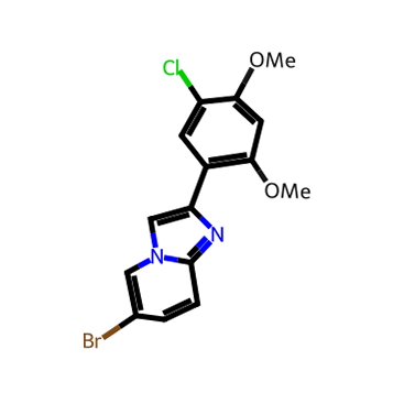 COc1cc(OC)c(-c2cn3cc(Br)ccc3n2)cc1Cl